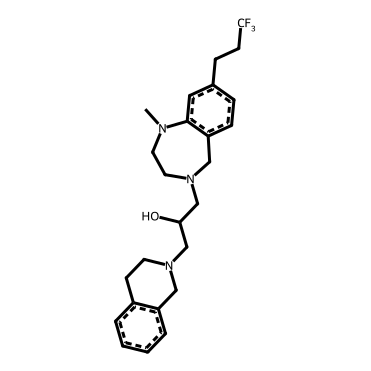 CN1CCN(CC(O)CN2CCc3ccccc3C2)Cc2ccc(CCC(F)(F)F)cc21